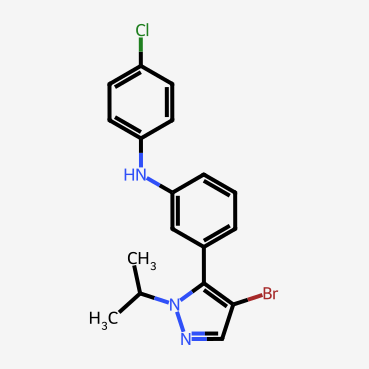 CC(C)n1ncc(Br)c1-c1cccc(Nc2ccc(Cl)cc2)c1